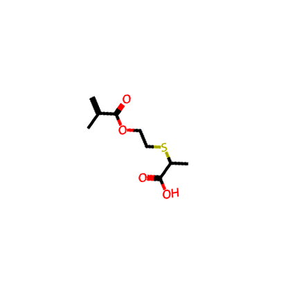 C=C(C)C(=O)OCCSC(C)C(=O)O